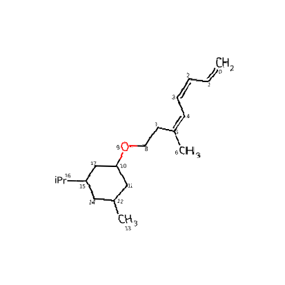 C=C/C=C\C=C(\C)CCOC1CC(C)CC(C(C)C)C1